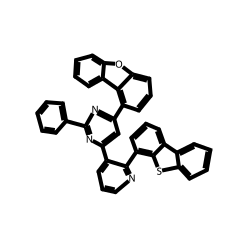 c1ccc(-c2nc(-c3cccnc3-c3cccc4c3sc3ccccc34)cc(-c3cccc4oc5ccccc5c34)n2)cc1